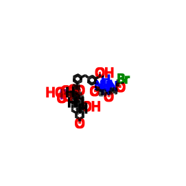 C[C@H](NC(=O)CBr)C(=O)N[C@@H](C)C(=O)Nc1ccc(Cc2cccc([C@@H]3O[C@@H]4C[C@H]5[C@@H]6CCC7=CC(=O)C=C[C@]7(C)[C@H]6[C@@H](O)C[C@]5(C)[C@]4(C(=O)COP(=O)(O)O)O3)c2)cc1CO